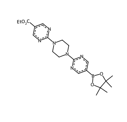 CCOC(=O)c1cnc(N2CCN(c3ncc(B4OC(C)(C)C(C)(C)O4)cn3)CC2)nc1